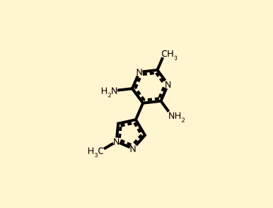 Cc1nc(N)c(-c2cnn(C)c2)c(N)n1